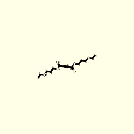 CCOCCCOC(=O)C#CC(=O)OCCCOCC